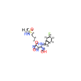 CS(=N)(=O)CCCCOc1nonc1/C(=N\O)N[C@H]1Cc2ccc(F)cc21